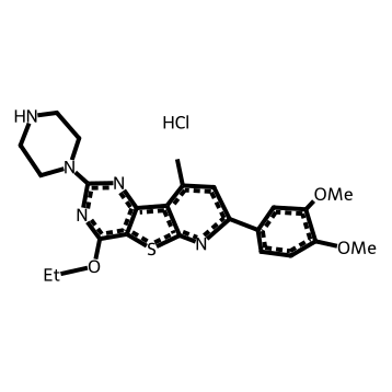 CCOc1nc(N2CCNCC2)nc2c1sc1nc(-c3ccc(OC)c(OC)c3)cc(C)c12.Cl